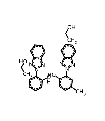 CCO.CCO.Cc1ccc(O)c(-n2nc3ccccc3n2)c1.Oc1ccccc1-n1nc2ccccc2n1